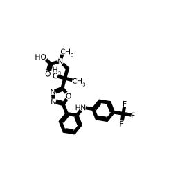 CN(CC(C)(C)c1nnc(-c2ccccc2Nc2ccc(C(F)(F)F)cc2)o1)C(=O)O